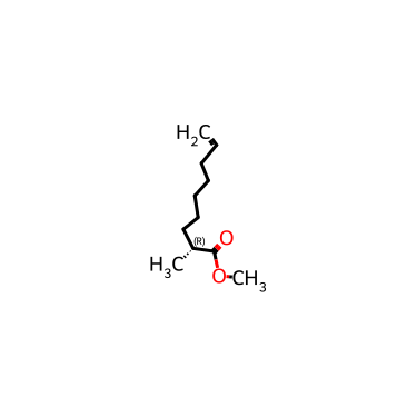 C=CCCCCC[C@@H](C)C(=O)OC